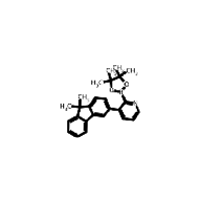 CC1(C)c2ccccc2-c2cc(-c3cccnc3B3OC(C)(C)C(C)(C)O3)ccc21